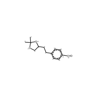 CC1(C)OCC(CCc2ccc(C=O)cc2)O1